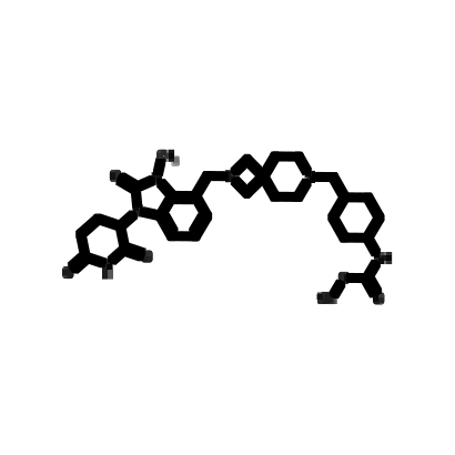 Cn1c(=O)n(C2CCC(=O)NC2=O)c2cccc(CN3CC4(CCN(CC5CCC(NC(=O)OC(C)(C)C)CC5)CC4)C3)c21